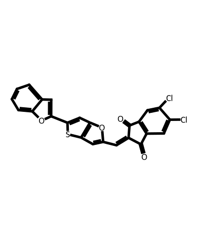 O=C1C(=Cc2cc3sc(-c4cc5ccccc5o4)cc3o2)C(=O)c2cc(Cl)c(Cl)cc21